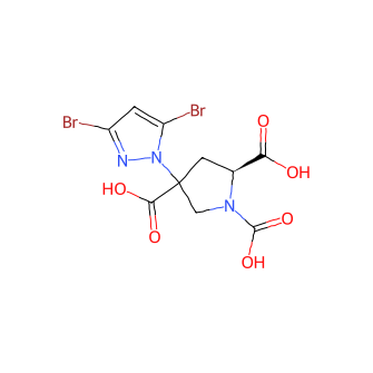 O=C(O)[C@@H]1CC(C(=O)O)(n2nc(Br)cc2Br)CN1C(=O)O